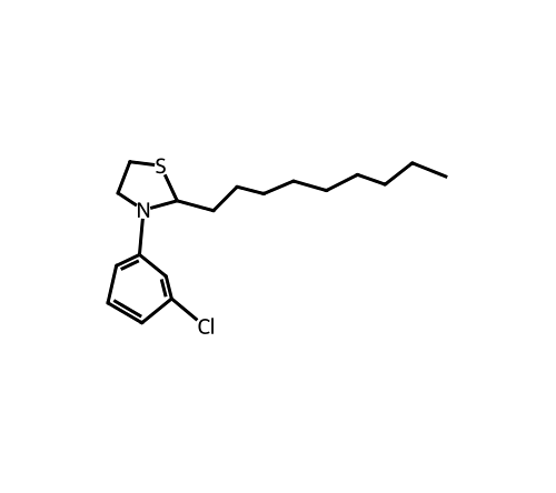 CCCCCCCCCC1SCCN1c1cccc(Cl)c1